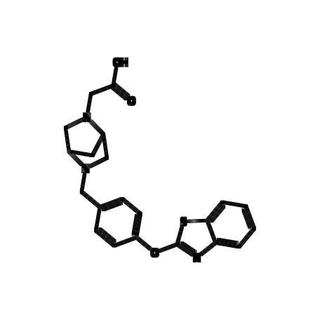 O=C(O)CN1CC2CC1CN2Cc1ccc(Oc2nc3ccccc3s2)cc1